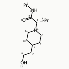 CC(C)NC(=O)[C@H](C(C)C)N1CCC(CCO)CC1